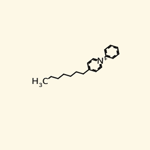 CCCCCCCc1cc[n+](-c2ccccc2)cc1